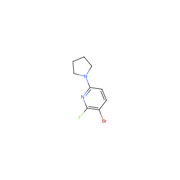 Fc1nc(N2CCCC2)ccc1Br